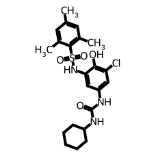 Cc1cc(C)c(S(=O)(=O)Nc2cc(NC(=O)NC3CCCCC3)cc(Cl)c2O)c(C)c1